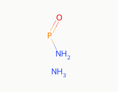 N.NP=O